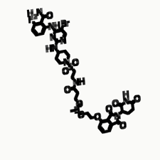 CB(OCCOc1cccc2c1C(=O)N(C1CCC(=O)NC1=O)C2=O)OCCC(=O)NCCS(=O)(=O)N1CCC(Nc2ncc(Br)c(Nc3cccc(F)c3C(N)=O)n2)CC1